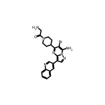 NCC(=O)N1CCC(c2nc3c(-c4cnc5ccccc5c4)cnn3c(N)c2Br)CC1